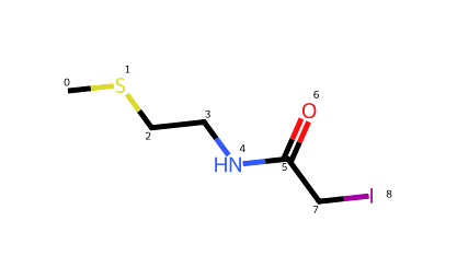 CSCCNC(=O)CI